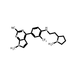 CN1CCCC1CCNc1ccc(-c2nc(C#N)nc3c2ccn3C)cc1C(F)(F)F